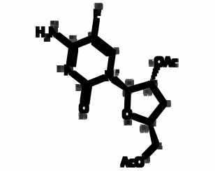 CC(=O)OC[C@@H]1C[C@@H](OC(C)=O)[C@H](n2cc(F)c(N)nc2=O)O1